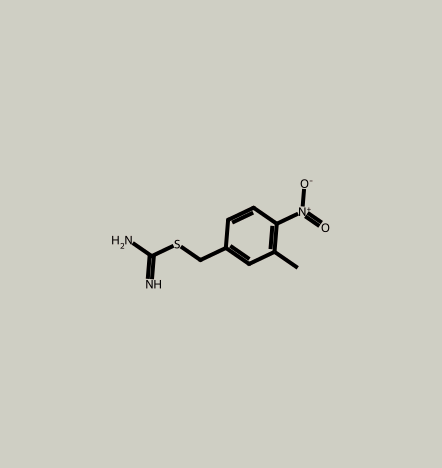 Cc1cc(CSC(=N)N)ccc1[N+](=O)[O-]